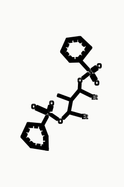 CCC(OS(=O)(=O)c1ccccc1)C(C)C(CC)OS(=O)(=O)c1ccccc1